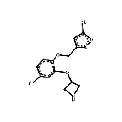 CCc1cc(COc2ccc(Cl)cc2OC2CNC2)no1